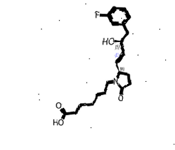 O=C(O)CCCCCCN1C(=O)CC[C@@H]1/C=C/[C@@H](O)Cc1cccc(F)c1